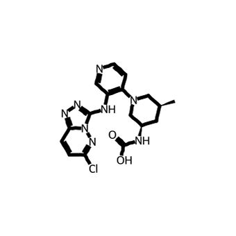 C[C@H]1C[C@@H](NC(=O)O)CN(c2ccncc2Nc2nnc3ccc(Cl)nn23)C1